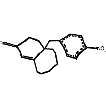 O=C1C=C2CCCCC2(Cc2ccc([N+](=O)[O-])cc2)CC1